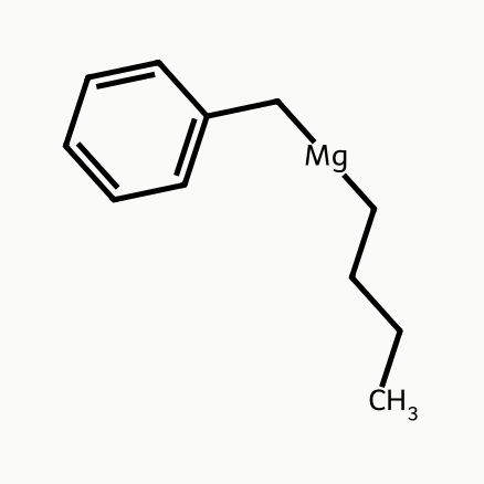 CCC[CH2][Mg][CH2]c1ccccc1